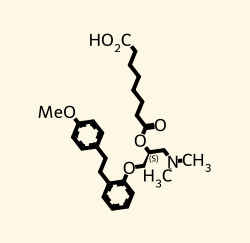 COc1ccc(CCc2ccccc2OC[C@H](CN(C)C)OC(=O)CCCCCCC(=O)O)cc1